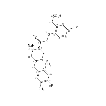 Cc1cc(CN2CCN(C(=O)COc3ccc(Cl)cc3CS(=O)(=O)O)CC2)c(C)cc1F.[NaH]